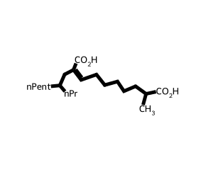 CCCCCC(CCC)CC(=CCCCCCC(C)C(=O)O)C(=O)O